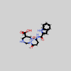 O=C(NC1CCC(=O)N2CNCC(C(=O)O)C[N+]12[O-])c1cc2ccccc2[nH]1